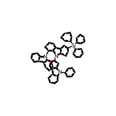 c1ccc(-n2c3ccccc3c3ccc(-n4c5ccc([Si](c6ccccc6)(c6ccccc6)c6ccccc6)cc5c5cccc(-n6c7ccccc7c7ccccc76)c54)cc32)cc1